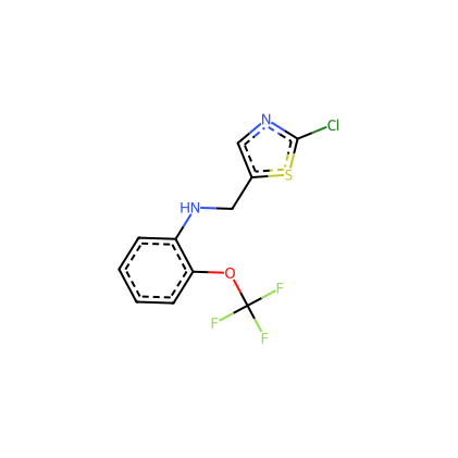 FC(F)(F)Oc1ccccc1NCc1cnc(Cl)s1